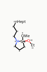 CCCCCCCCCCN1CCC[Si]1(OC)OCC